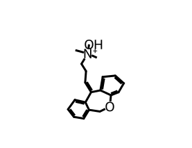 C[N+](C)(O)CC/C=C1/c2ccccc2COc2ccccc21